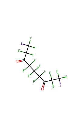 O=C(C(F)(F)C(F)(F)I)C(F)(F)C(F)(F)C(F)(F)C(=O)C(F)(F)C(F)(F)I